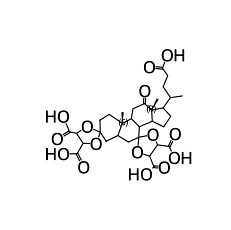 CC(CCC(=O)O)C1CCC2C3C(CC(=O)[C@]12C)[C@@]1(C)CCC2(CC1CC31OC(C(=O)O)C(C(=O)O)O1)OC(C(=O)O)C(C(=O)O)O2